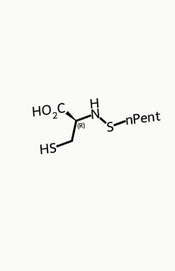 CCCCCSN[C@@H](CS)C(=O)O